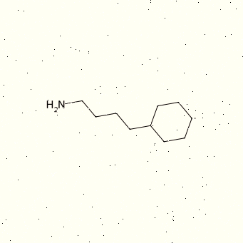 NCCCCC1CC[CH]CC1